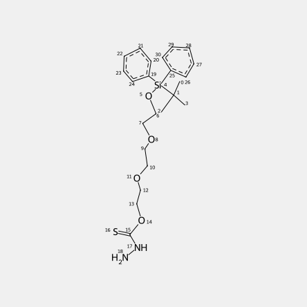 CC(C)(C)[Si](OCCOCCOCCOC(=S)NN)(c1ccccc1)c1ccccc1